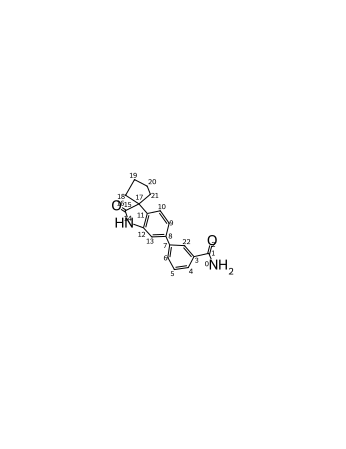 NC(=O)c1cccc(-c2ccc3c(c2)NC(=O)C32CCCC2)c1